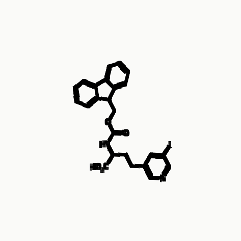 O=C(NC(CCc1cncc(I)c1)C(=O)O)OCC1c2ccccc2-c2ccccc21